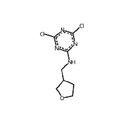 Clc1nc(Cl)nc(NCC2CCOC2)n1